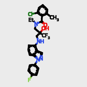 CCN(CC(O)(CNc1cccc2c1cnn2-c1ccc(F)cc1)C(F)(F)F)C(=O)c1c(C)cccc1Cl